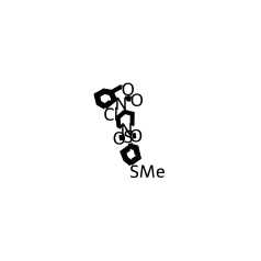 CSc1ccc(S(=O)(=O)N2CCC(N3C(=O)OCc4cccc(Cl)c43)CC2)cc1